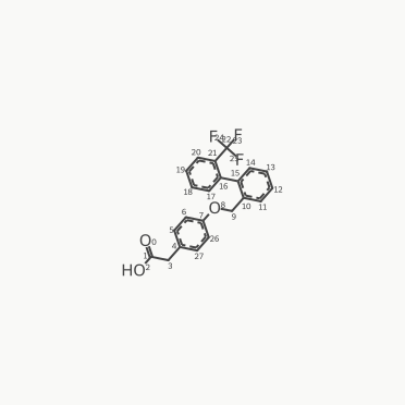 O=C(O)Cc1ccc(OCc2ccccc2-c2ccccc2C(F)(F)F)cc1